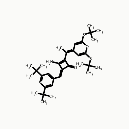 CC(=C1C=C(SC(C)(C)C)OC(SC(C)(C)C)=C1)C1=C(N)/C(=C\c2cc(C(C)(C)C)[s+]c(C(C)(C)C)c2)C1=O